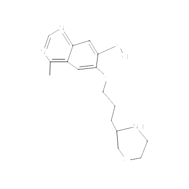 COc1cc2ncnc(Cl)c2cc1OCCCC1COCCN1